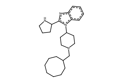 c1ccc2c(c1)nc(C1CCCN1)n2C1CCN(CC2CCCCCCC2)CC1